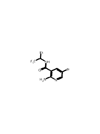 CCC(NC(=O)c1cc(Br)cnc1N)C(F)(F)F